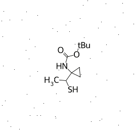 CC(S)C1(NC(=O)OC(C)(C)C)CC1